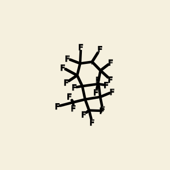 F[C]1C(F)(F)C(F)(F)C(F)(C(C(F)(F)F)(C(F)(F)F)C(F)(F)F)C(F)(F)C1(F)F